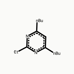 C[CH]c1nc(CCCC)cc(CCCC)n1